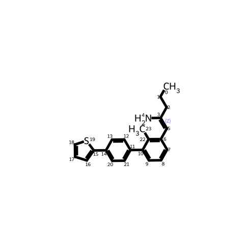 CCC/C(N)=C/c1cccc(-c2ccc(-c3cccs3)cc2)c1C